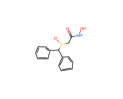 O=C(C[S+]([O-])C(c1ccccc1)c1ccccc1)NO